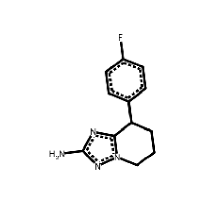 Nc1nc2n(n1)CCCC2c1ccc(F)cc1